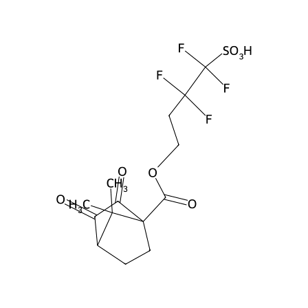 CC1(C)C2CCC1(C(=O)OCCC(F)(F)C(F)(F)S(=O)(=O)O)C(=O)C2=O